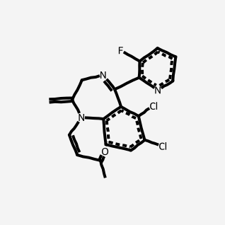 C=C1CN=C(c2ncccc2F)c2c(ccc(Cl)c2Cl)N1/C=C\C(C)=O